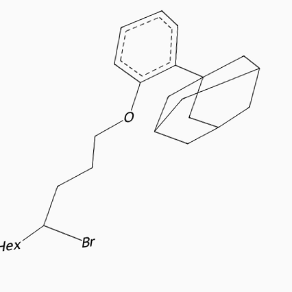 CCCCCCC(Br)CCCOc1ccccc1C12CC3CC(CC(C3)C1)C2